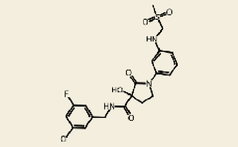 CS(=O)(=O)CNc1cccc(N2CCC(O)(C(=O)NCc3cc(F)cc(Cl)c3)C2=O)c1